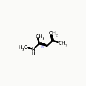 C=C(C)/C=C(\C)NC